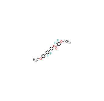 C=CCOc1ccc(C(=O)Oc2ccc(-c3ccc(-c4ccc(OCC)cc4)c(F)c3F)cc2)c(F)c1F